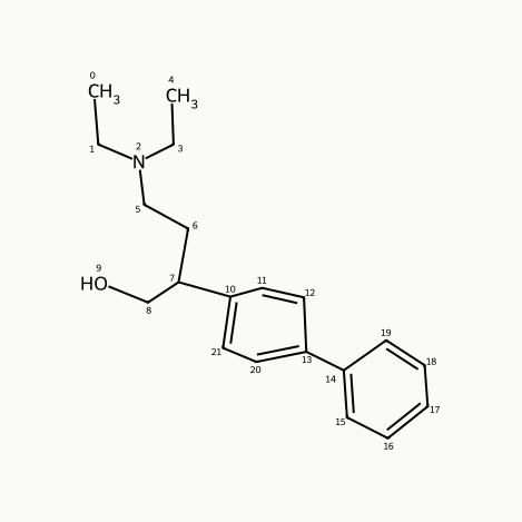 CCN(CC)CCC(CO)c1ccc(-c2ccccc2)cc1